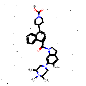 COc1cc2c(cc1N1CC(C)N(C)C(C)C1)N(C(=O)c1ccc(C3CCN(C(=O)OC(C)(C)C)CC3)c3ccccc13)CC2